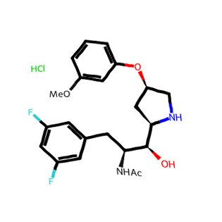 COc1cccc(O[C@H]2CN[C@@H]([C@@H](O)[C@H](Cc3cc(F)cc(F)c3)NC(C)=O)C2)c1.Cl